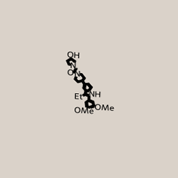 CCc1c(-c2ccc(OC)c(OC)c2)[nH]c2ccc(C3CCN(C(=O)CN4CCC(O)C4)CC3)cc12